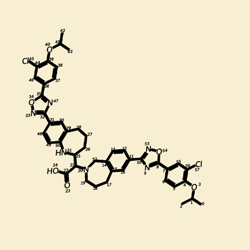 CC(C)Oc1ccc(-c2nc(-c3ccc4c(c3)CCCN(C(C(=O)O)C3CCCc5cc(-c6noc(-c7ccc(OC(C)C)c(Cl)c7)n6)ccc5N3)C4)no2)cc1Cl